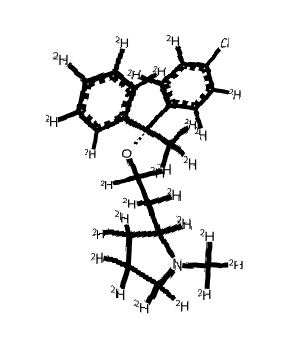 [2H]c1c([2H])c([2H])c([C@@](OC([2H])([2H])C([2H])([2H])C2([2H])N(C([2H])([2H])[2H])C([2H])([2H])C([2H])([2H])C2([2H])[2H])(c2c([2H])c([2H])c(Cl)c([2H])c2[2H])C([2H])([2H])[2H])c([2H])c1[2H]